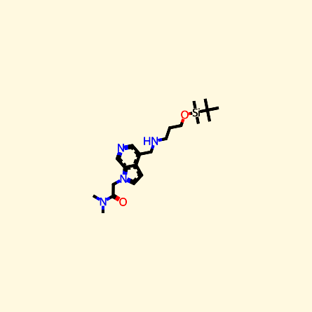 CN(C)C(=O)Cn1ccc2c(CNCCCO[Si](C)(C)C(C)(C)C)cncc21